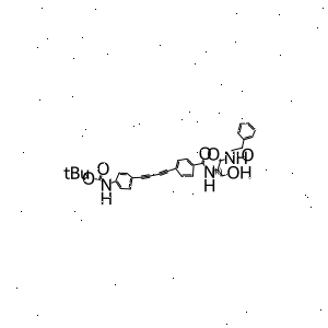 CC(C)(C)OC(=O)Nc1ccc(C#CC#Cc2ccc(C(=O)N[C@H](CO)C(=O)NCC(=O)c3ccccc3)cc2)cc1